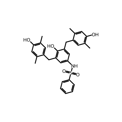 Cc1cc(Cc2cc(NS(=O)(=O)c3ccccc3)cc(Cc3cc(C)c(O)cc3C)c2O)c(C)cc1O